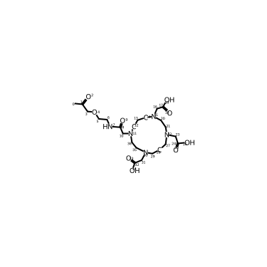 CC(=O)COCCNC(=O)CN1CCCN(CC(=O)O)CCN(CC(=O)O)CCCN(CC(=O)O)CC1